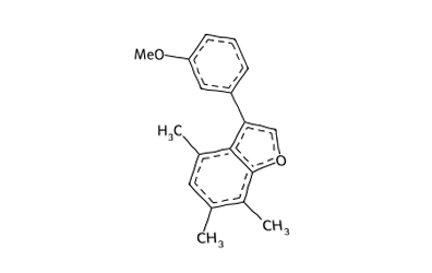 COc1cccc(-c2coc3c(C)c(C)cc(C)c23)c1